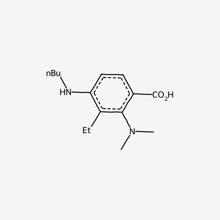 CCCCNc1ccc(C(=O)O)c(N(C)C)c1CC